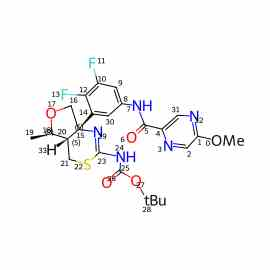 COc1cnc(C(=O)Nc2cc(F)c(F)c([C@]34CO[C@H](C)[C@H]3CSC(NC(=O)OC(C)(C)C)=N4)c2)cn1